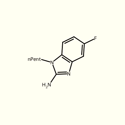 CCCCCn1c(N)nc2cc(F)ccc21